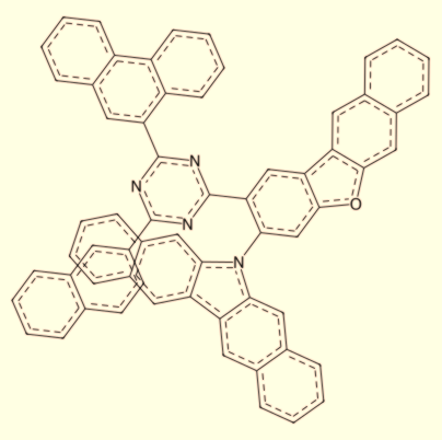 c1ccc2cc(-c3nc(-c4cc5c(cc4-n4c6cc7ccccc7cc6c6cc7ccccc7cc64)oc4cc6ccccc6cc45)nc(-c4cc5ccccc5c5ccccc45)n3)ccc2c1